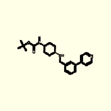 CN(C(=O)OC(C)(C)C)[C@H]1CC[C@H](NCc2cccc(-c3ccncc3)c2)CC1